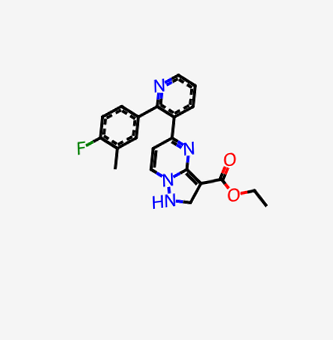 CCOC(=O)C1=C2N=C(c3cccnc3-c3ccc(F)c(C)c3)C=CN2NC1